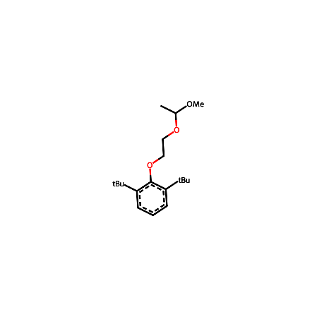 COC(C)OCCOc1c(C(C)(C)C)cccc1C(C)(C)C